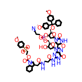 COc1ccc(C(OC[C@H]2O[C@@H](n3cc(C)c(=O)[nH]c3=O)C[C@H]2OP(OCCC#N)OC[C@H]2O[C@@H](n3cnc4c(=O)[nH]c(NC(=O)CCNC(=O)Cc5cn(C(=O)OCCS(=O)(=O)c6ccc(OC)cc6)c6ccccc56)nc43)C[C@H]2O)(c2ccccc2)c2ccc(OC)cc2)cc1